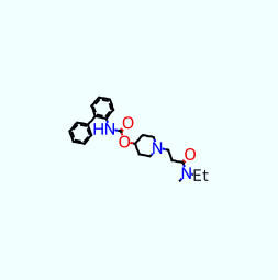 CCN(C)C(=O)CCN1CCC(OC(=O)Nc2ccccc2-c2ccccc2)CC1